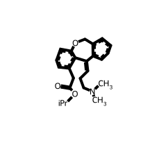 CC(C)OC(=O)Cc1cccc2c1/C(=C\CCN(C)C)c1ccccc1CO2